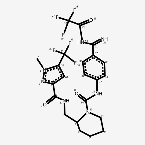 Cn1nc(C(=O)NCC2CCCCN2C(=O)Nc2ccc(C(=N)NC(=O)C(F)(F)F)cc2)cc1C(F)(F)F